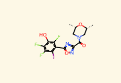 C[C@@H]1CN(C(=O)c2noc(-c3c(F)c(O)c(F)c(F)c3I)n2)C[C@H](C)O1